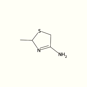 CC1N=C(N)CS1